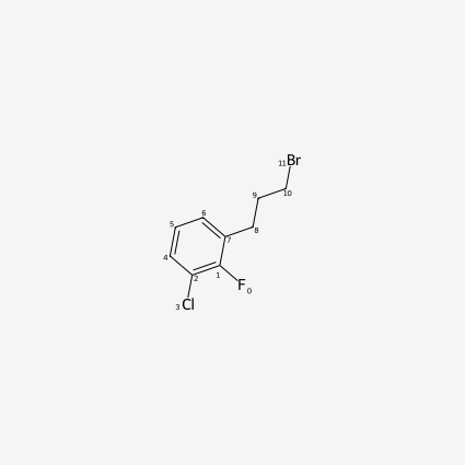 Fc1c(Cl)cccc1CCCBr